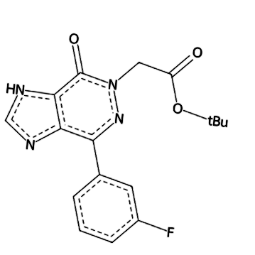 CC(C)(C)OC(=O)Cn1nc(-c2cccc(F)c2)c2nc[nH]c2c1=O